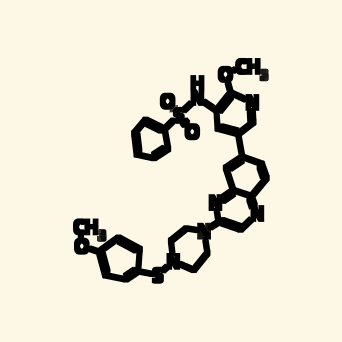 COc1ccc(SN2CCN(c3cnc4ccc(-c5cnc(OC)c(NS(=O)(=O)c6ccccc6)c5)cc4n3)CC2)cc1